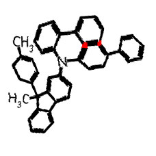 CC1=CC=C(C2(C)c3ccccc3-c3ccc(N(c4ccc(-c5ccccc5)cc4)c4ccccc4-c4ccccc4)cc32)CC1